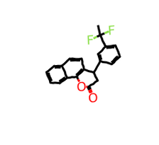 CC(F)(F)c1cccc(C2CC(=O)Oc3c2ccc2ccccc32)c1